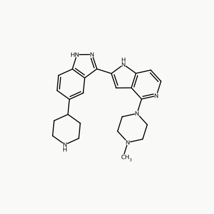 CN1CCN(c2nccc3[nH]c(-c4n[nH]c5ccc(C6CCNCC6)cc45)cc23)CC1